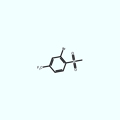 CS(=O)(=O)c1ccc(C(F)(F)F)cc1Br